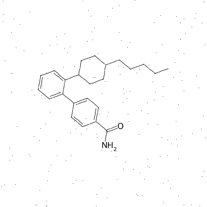 CCCCCC1CCC(c2ccccc2-c2ccc(C(N)=O)cc2)CC1